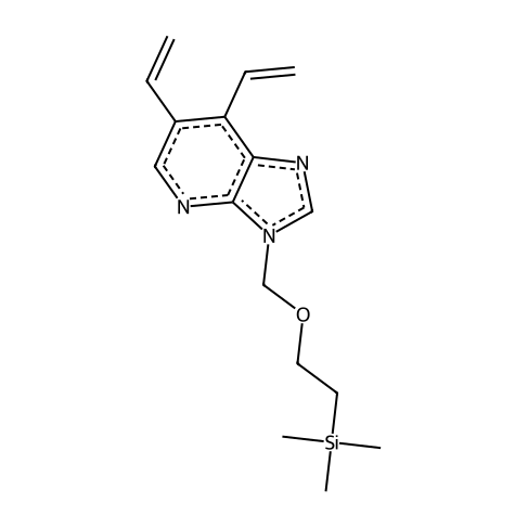 C=Cc1cnc2c(ncn2COCC[Si](C)(C)C)c1C=C